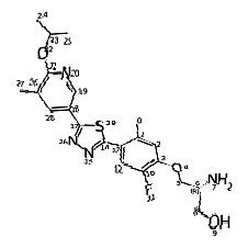 Cc1cc(OC[C@H](N)CO)c(F)cc1-c1nnc(-c2cnc(OC(C)C)c(C)c2)s1